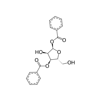 O=C(O[C@H]1O[C@H](CO)[C@@H](OC(=O)c2ccccc2)[C@H]1O)c1ccccc1